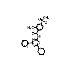 Cc1cc(S(C)(=O)=O)ccc1C(=O)Nc1nc(-c2ccccn2)nc(N2CCCCC2)n1